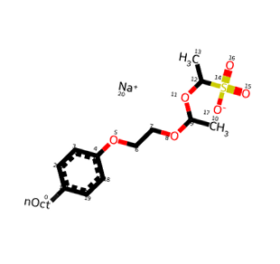 CCCCCCCCc1ccc(OCCOC(C)OC(C)S(=O)(=O)[O-])cc1.[Na+]